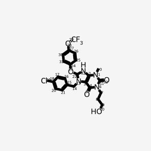 Cn1c2c(c(=O)n(CCCO)c1=O)N(Cc1ccc(Cl)cc1)C(Oc1ccc(OC(F)(F)F)cc1)N2